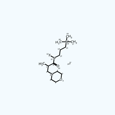 CC(CN1CCOCC1)C(=O)N(F)CCC[N+](C)(C)C.[I-]